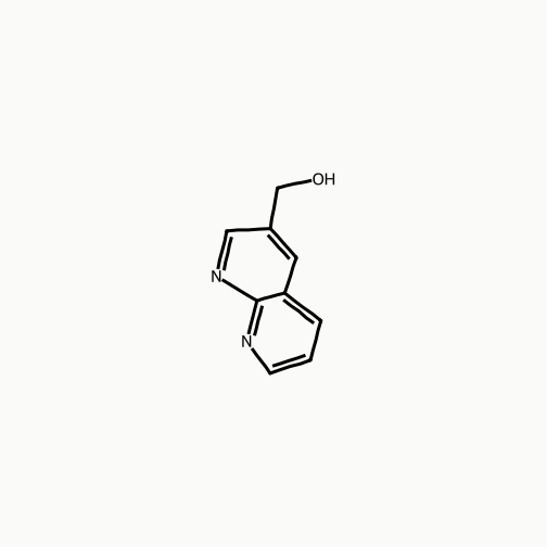 OCc1cnc2ncccc2c1